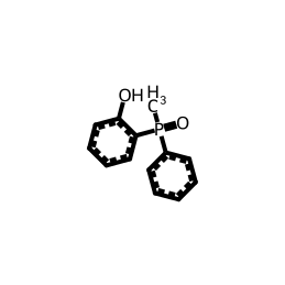 CP(=O)(c1ccccc1)c1ccccc1O